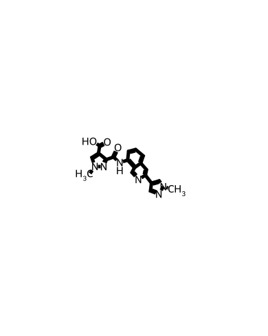 Cn1cc(-c2cc3cccc(NC(=O)c4nn(C)cc4C(=O)O)c3cn2)cn1